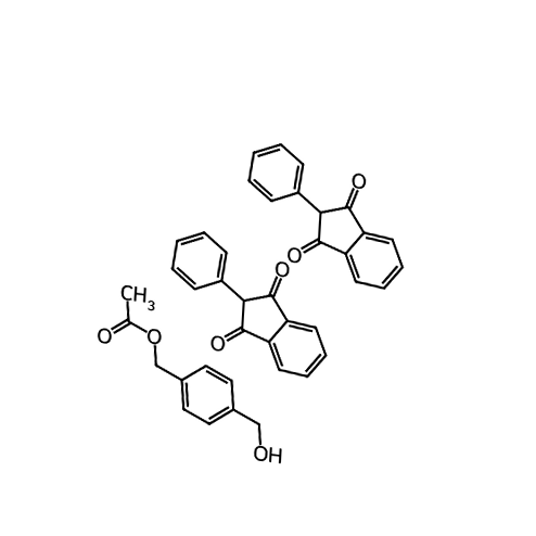 CC(=O)OCc1ccc(CO)cc1.O=C1c2ccccc2C(=O)C1c1ccccc1.O=C1c2ccccc2C(=O)C1c1ccccc1